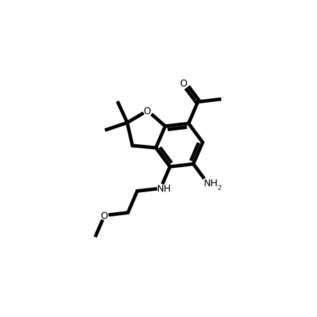 COCCNc1c(N)cc(C(C)=O)c2c1CC(C)(C)O2